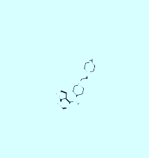 CN1CCN(C(=O)CN2CCC(N(C)c3ncnc4[nH]ccc34)CC2)CC1